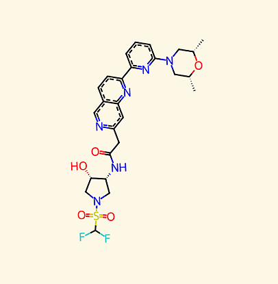 C[C@@H]1CN(c2cccc(-c3ccc4cnc(CC(=O)N[C@@H]5CN(S(=O)(=O)C(F)F)C[C@@H]5O)cc4n3)n2)C[C@H](C)O1